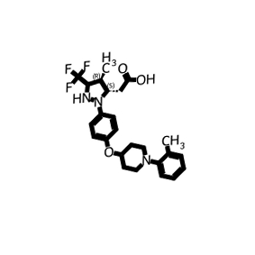 Cc1ccccc1N1CCC(Oc2ccc(N3NC(C(F)(F)F)[C@@H](C)[C@@H]3CC(=O)O)cc2)CC1